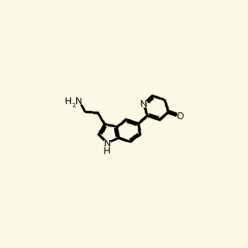 NCCc1c[nH]c2ccc(C3=CC(=O)CC=N3)cc12